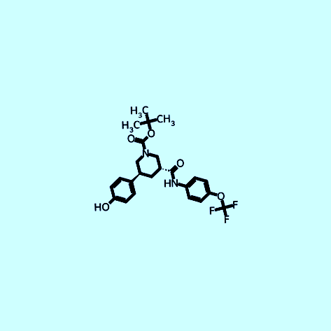 CC(C)(C)OC(=O)N1C[C@H](C(=O)Nc2ccc(OC(F)(F)F)cc2)C[C@@H](c2ccc(O)cc2)C1